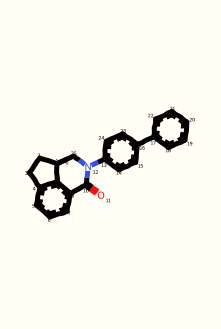 CC12CCc3cccc(c31)C(=O)N(c1ccc(-c3ccccc3)cc1)C2